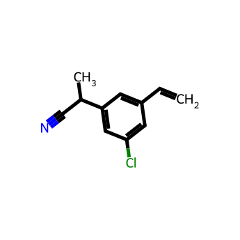 C=Cc1cc(Cl)cc(C(C)C#N)c1